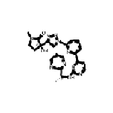 C[C@@H](Nc1nccc(-c2cccc(-n3cc([C@]4(O)CCN(C)C4=O)nn3)n2)n1)c1ncccn1